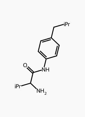 CC(C)Cc1ccc(NC(=O)C(N)C(C)C)cc1